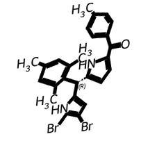 Cc1ccc(C(=O)c2ccc([C@H](c3cc(Br)c(Br)[nH]3)c3c(C)cc(C)cc3C)[nH]2)cc1